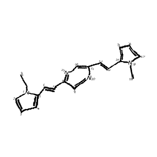 Cn1cccc1/C=C/c1cnc(/C=C/c2cccn2C)cn1